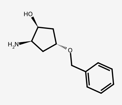 N[C@@H]1C[C@@H](OCc2ccccc2)C[C@@H]1O